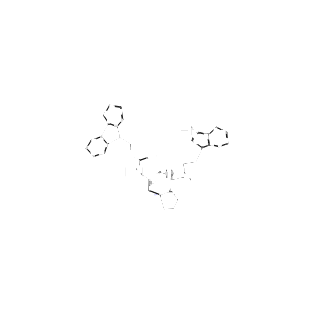 O=C(N[C@H](/C=C1/CCC[C@H]1C(=O)NCCc1c[nH]c2ccccc12)CO)OCC1c2ccccc2-c2ccccc21